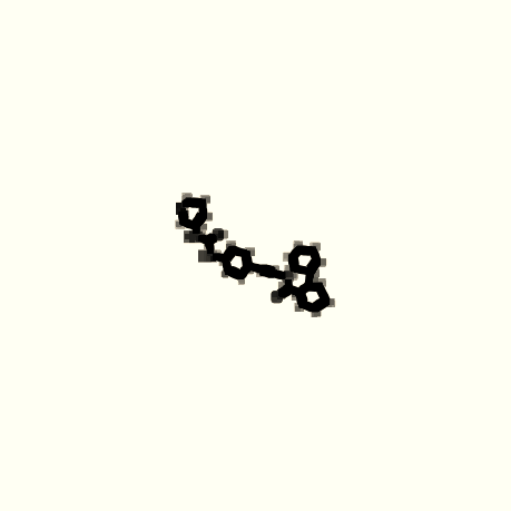 O=C(Nc1ccc(C#COC(=O)c2ccccc2-c2ccccc2)cc1)Nc1cccnc1